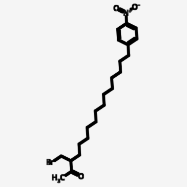 CC(=O)C(CBr)CCCCCCCCCCCCCc1ccc([N+](=O)[O-])cc1